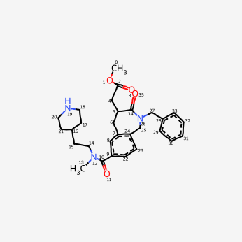 COC(=O)CC1Cc2cc(C(=O)N(C)CCC3CCNCC3)ccc2CN(Cc2ccccc2)C1=O